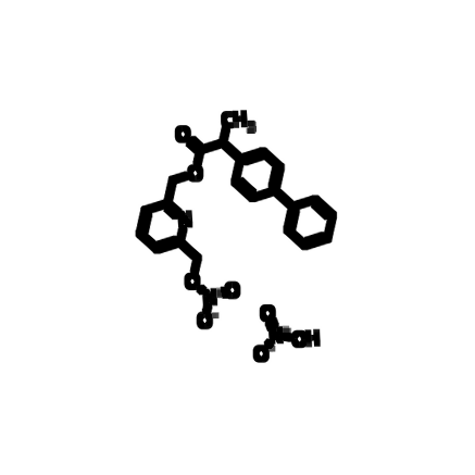 CC(C(=O)OCc1cccc(CO[N+](=O)[O-])n1)c1ccc(-c2ccccc2)cc1.O=[N+]([O-])O